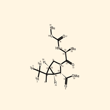 [2H]C([2H])([2H])C1(C)[C@@H]2[C@@H](C(=O)OC)N(C(=O)[C@@H](NC(=O)OC(C)(C)C)C(C)(C)C)C[C@@H]21